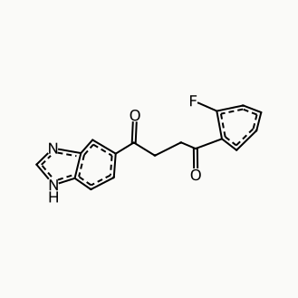 O=C(CCC(=O)c1ccccc1F)c1ccc2[nH]cnc2c1